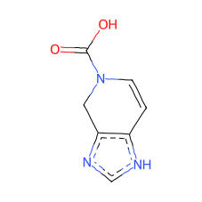 O=C(O)N1C=Cc2[nH]cnc2C1